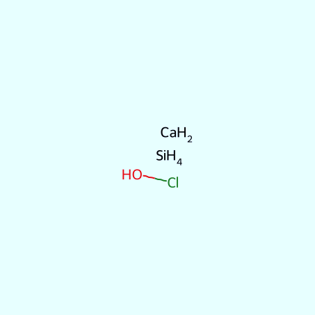 OCl.[CaH2].[SiH4]